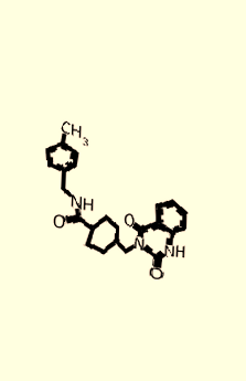 Cc1ccc(CNC(=O)C2CCC(Cn3c(=O)[nH]c4ccccc4c3=O)CC2)cc1